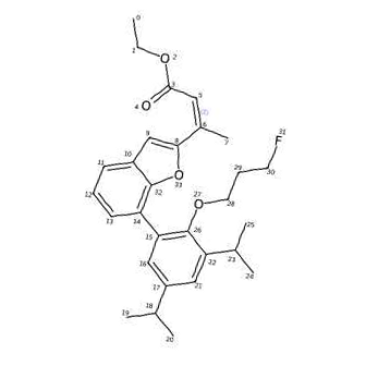 CCOC(=O)/C=C(/C)c1cc2cccc(-c3cc(C(C)C)cc(C(C)C)c3OCCCF)c2o1